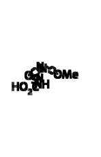 COc1ccc(Cn2cc3c(ccc(=O)c4sc(NC(=O)O)nc43)n2)cc1